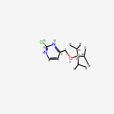 CC(C)[Si](OCc1ccnc(Cl)n1)(C(C)C)C(C)C